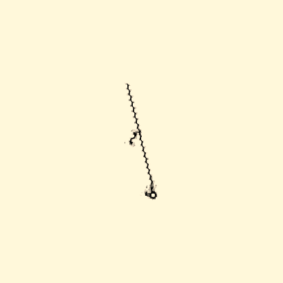 CC(=O)O.CCCCCCCCCCCCCCCCCCN(CCCCCCCCCCCCCCCCCC)C(=O)CCC(=O)O.O=C(O)c1ccccc1